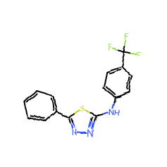 FC(F)(F)c1ccc(Nc2nnc(-c3ccccc3)s2)cc1